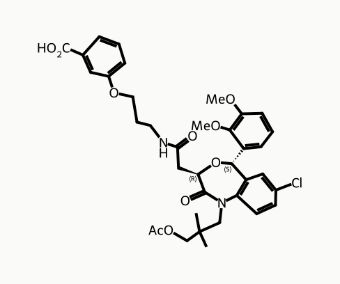 COc1cccc([C@H]2O[C@H](CC(=O)NCCCOc3cccc(C(=O)O)c3)C(=O)N(CC(C)(C)COC(C)=O)c3ccc(Cl)cc32)c1OC